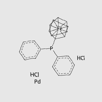 Cl.Cl.[Pd].c1ccc(P(c2ccccc2)[C]23[CH]4[CH]5[CH]6[CH]2[Fe]56432789[CH]3[CH]2[CH]7[CH]8[CH]39)cc1